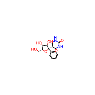 O=c1[nH]cc([C@]2(c3ccccc3)O[C@H](CO)[C@@H](O)[C@H]2O)c(=O)[nH]1